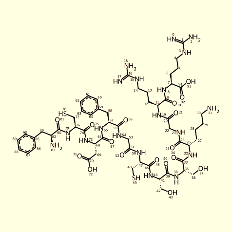 N=C(N)NCCC[C@H](NC(=O)[C@H](CCCNC(=N)N)NC(=O)CNC(=O)[C@H](CCCCN)NC(=O)[C@H](CO)NC(=O)[C@H](CO)NC(=O)[C@H](CS)NC(=O)CNC(=O)[C@H](Cc1ccccc1)NC(=O)[C@H](CC(=O)O)NC(=O)[C@H](CS)NC(=O)[C@@H](N)Cc1ccccc1)C(=O)O